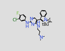 CN(C)CCCNc1nc(Nc2ccc(F)c(Cl)c2)ncc1-c1cn([Si](C)(C)C(C)(C)C)c2ccccc12